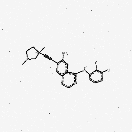 CN1CC[C@](C)(C#Cc2cc3ncnc(Nc4cccc(Cl)c4F)c3cc2N)C1